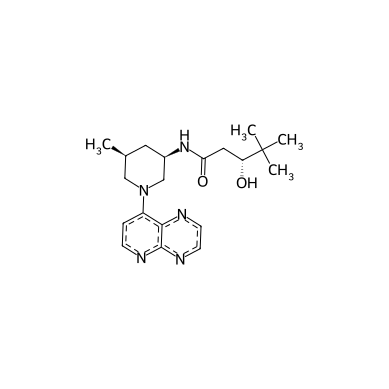 C[C@H]1C[C@@H](NC(=O)C[C@@H](O)C(C)(C)C)CN(c2ccnc3nccnc23)C1